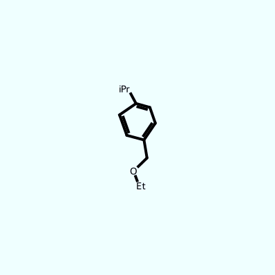 CCOCc1ccc(C(C)C)cc1